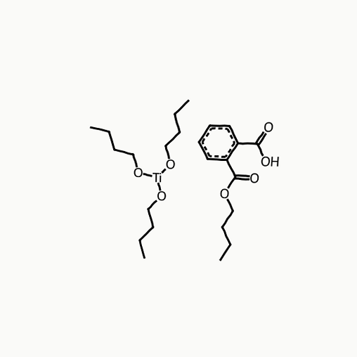 CCCCOC(=O)c1ccccc1C(=O)O.CCCC[O][Ti]([O]CCCC)[O]CCCC